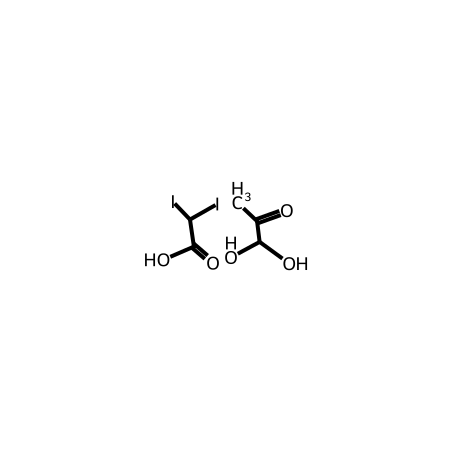 CC(=O)C(O)O.O=C(O)C(I)I